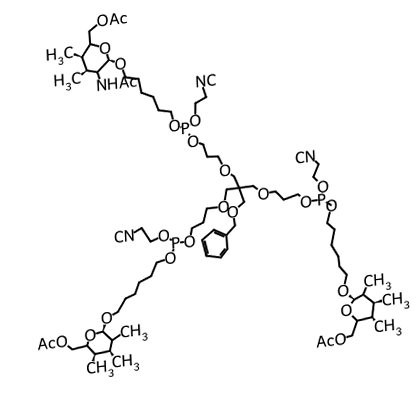 [C-]#[N+]CCOP(OCCCCCCO[C@@H]1OC(COC(C)=O)[C@H](C)[C@H](C)C1C)OCCCOCC(COCCCOP(OCCCCCCO[C@@H]1OC(COC(C)=O)[C@H](C)[C@H](C)C1C)OCC[N+]#[C-])(COCCCOP(OCCCCCCO[C@@H]1OC(COC(C)=O)[C@H](C)[C@H](C)C1NC(C)=O)OCC[N+]#[C-])COCc1ccccc1